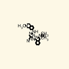 CN1CCc2ccc(Nc3ncc(C#N)c(Nc4nc(N=S(C)(C)=O)cc5ccccc45)n3)cc2C1